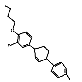 CCCCOc1ccc(C2C=CC(c3ccc(C)cc3)CC2)cc1F